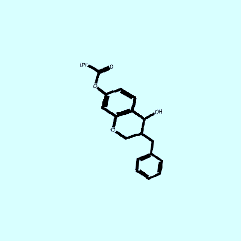 CC(C)C(=O)Oc1ccc2c(c1)OCC(Cc1ccccc1)C2O